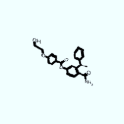 C[C@H](c1ccccc1)c1cc(OC(=O)c2ccc(OCCO)cc2)ccc1C(N)=O